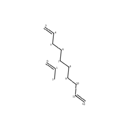 C=CC.C=CCCCCCCC=C